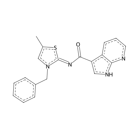 Cc1cn(Cc2ccccc2)/c(=N/C(=O)c2c[nH]c3ncccc23)s1